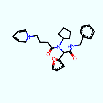 O=C(NCc1ccccc1)C(c1ccco1)N(C(=O)CCCN1C=CC=CC1)C1CCCC1